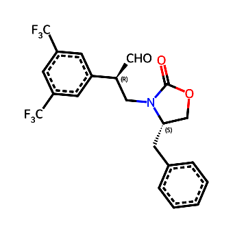 O=C[C@@H](CN1C(=O)OC[C@@H]1Cc1ccccc1)c1cc(C(F)(F)F)cc(C(F)(F)F)c1